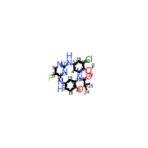 COc1ccc(Nc2ncc(F)c(Nc3ccc4c(c3)NC(=O)C(C)(C)O4)n2)cc1Cl